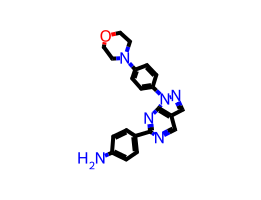 Nc1ccc(-c2ncc3cnn(-c4ccc(N5CCOCC5)cc4)c3n2)cc1